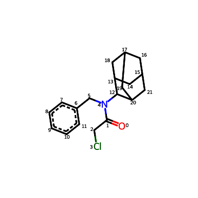 O=C(CCl)N(Cc1ccccc1)C1C2CC3CC(C2)CC1C3